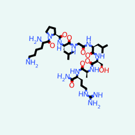 CC(C)C[C@H](NC(=O)CNC(=O)[C@H](CC(C)C)NC(=O)[C@@H]1CCCN1C(=O)[C@@H](N)CCCCN)C(=O)N[C@@H](CO)C(=O)N[C@@H](C)C(=O)N[C@@H](CCCNC(=N)N)C(N)=O